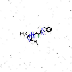 Cc1ncc(C)n2nc(CC(F)c3cn4c(n3)-c3ccccc3C4)nc12